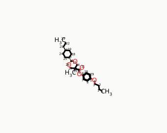 CCCCOc1ccc(OC(=O)C2(C)COC([C@H]3CC[C@H](CCC)CC3)OC2)cc1